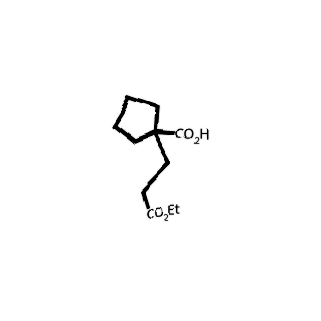 CCOC(=O)CCC1(C(=O)O)CCCC1